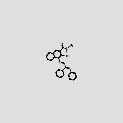 CC(C)NC(=O)c1cc2ccccc2c(N=NC(=Cc2ccccc2)c2ccccc2)c1O